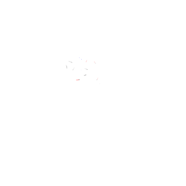 CCOC(=O)c1c(OC(=O)C(C)(C)COCCOCCOC)c(OC(=O)C(C)(C)COCCOCCOC)c(C(=O)N(C)C)n1-c1ccc(OC)cc1